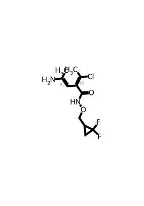 C/C(Cl)=C(\C=C(/C)N)C(=O)NOCC1CC1(F)F